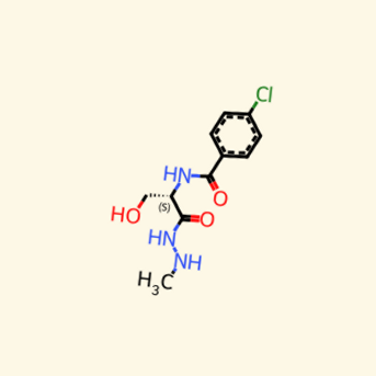 CNNC(=O)[C@H](CO)NC(=O)c1ccc(Cl)cc1